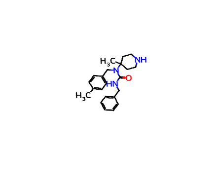 Cc1ccc(CN(C(=O)NCc2ccccc2)C2(C)CCNCC2)cc1